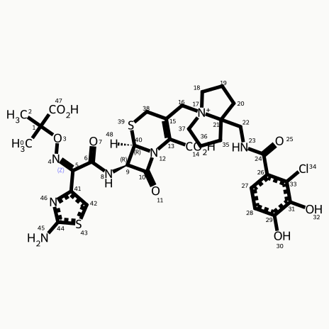 CC(C)(O/N=C(\C(=O)N[C@@H]1C(=O)N2C(C(=O)O)=C(C[N+]34CCCC3(CNC(=O)c3ccc(O)c(O)c3Cl)CCC4)CS[C@H]12)c1csc(N)n1)C(=O)O